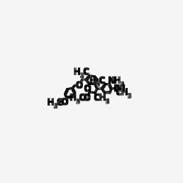 COC(=O)C(C)C(c1ccc(C)c(COCc2ccc(OC)cc2)c1)c1ccc(PC)c(N)c1C